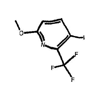 COc1ccc(I)c(C(F)(F)F)n1